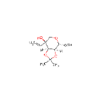 C=C[C@]1(O)CO[C@H](OC)[C@H]2OC(C)(C)O[C@H]21